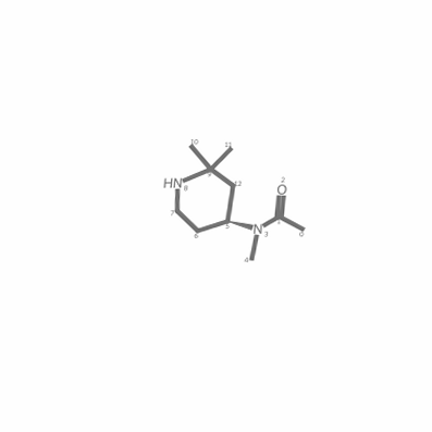 CC(=O)N(C)[C@H]1CCNC(C)(C)C1